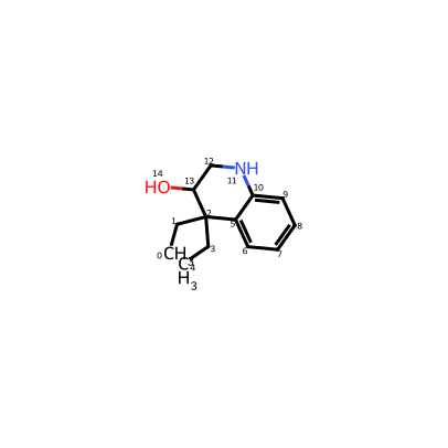 CCC1(CC)c2ccccc2NCC1O